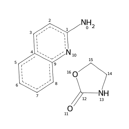 Nc1ccc2ccccc2n1.O=C1NCCO1